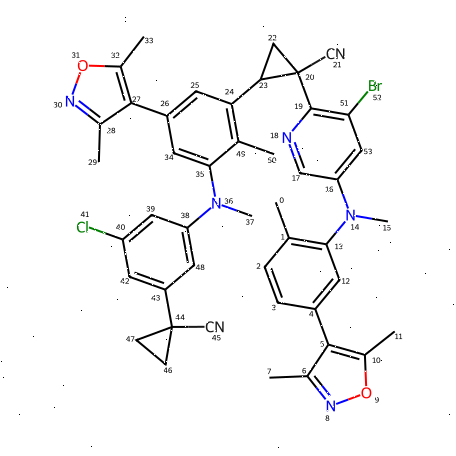 Cc1ccc(-c2c(C)noc2C)cc1N(C)c1cnc(C2(C#N)CC2c2cc(-c3c(C)noc3C)cc(N(C)c3cc(Cl)cc(C4(C#N)CC4)c3)c2C)c(Br)c1